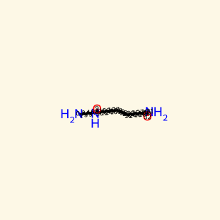 NCCCCCCNC(=O)CCCCCCCCC#CC#CCCCCCCCCC(N)=O